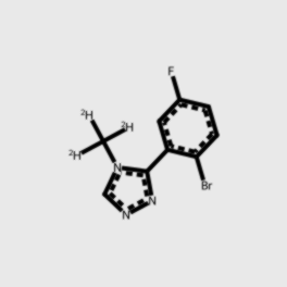 [2H]C([2H])([2H])n1cnnc1-c1cc(F)ccc1Br